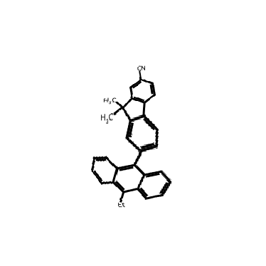 CCc1c2ccccc2c(-c2ccc3c(c2)C(C)(C)c2cc(C#N)ccc2-3)c2ccccc12